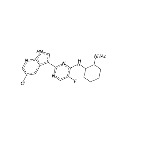 CC(=O)NC1CCCCC1Nc1nc(-c2c[nH]c3ncc(Cl)cc23)ncc1F